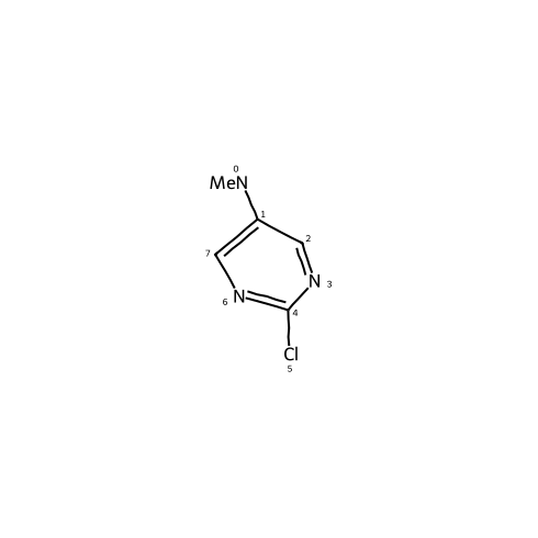 CNc1cnc(Cl)nc1